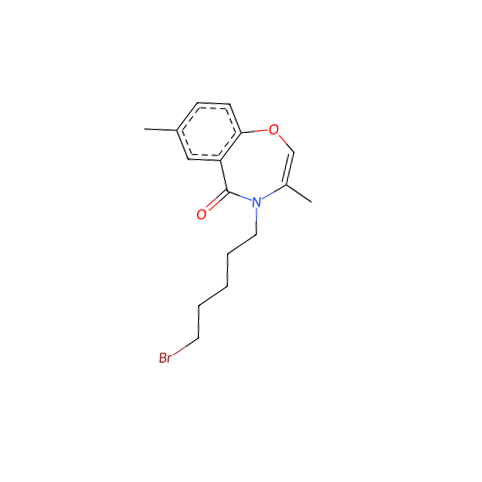 CC1=COc2ccc(C)cc2C(=O)N1CCCCCBr